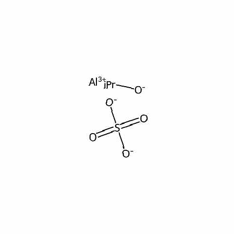 CC(C)[O-].O=S(=O)([O-])[O-].[Al+3]